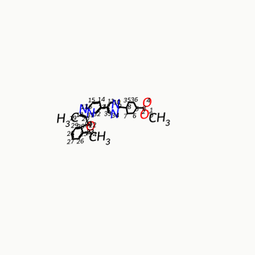 CCOC(=O)C1CCC(c2ncc(-c3ccc4nc(C)c([C@H]5O[C@@H](C)c6ccccc65)n4c3)cn2)CC1